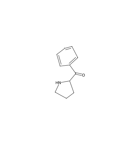 O=C(c1cc[c]cc1)C1CCCN1